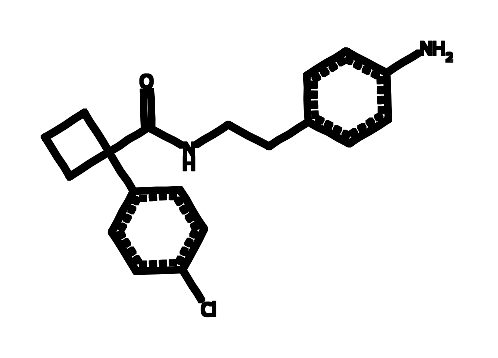 Nc1ccc(CCNC(=O)C2(c3ccc(Cl)cc3)CCC2)cc1